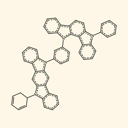 C1=CCC(n2c3ccccc3c3cc4c(cc32)c2ccccc2n4-c2cccc(-n3c4ccccc4c4ccc5c(c6ccccc6n5-c5ccccc5)c43)c2)C=C1